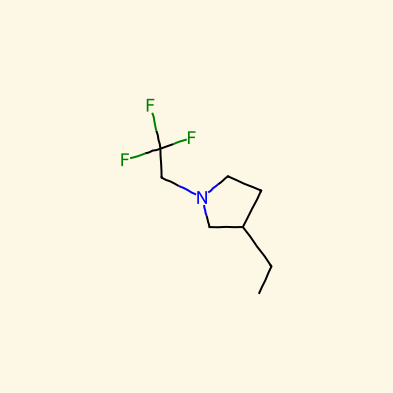 CCC1CCN(CC(F)(F)F)C1